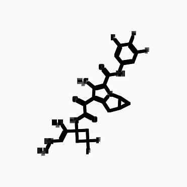 Cc1c(C(=O)C(=O)NC2(/C(N)=C/NN)CC(F)(F)C2)c2n(c1C(=O)Nc1cc(F)c(F)c(F)c1)C1CC1C2